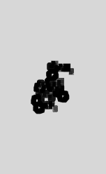 Nc1noc2cc(CC(O)(CNC(=O)c3ccccc3O)[C@H]3OCCN(c4ccc5cccc(C(F)(F)F)c5n4)C3=O)ccc12